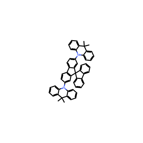 CC1(C)c2ccccc2N(c2ccc3c(c2)C2(c4ccccc4-c4ccccc42)c2cc(N4c5ccccc5C(C)(C)c5ccccc54)ccc2-3)c2ccccc21